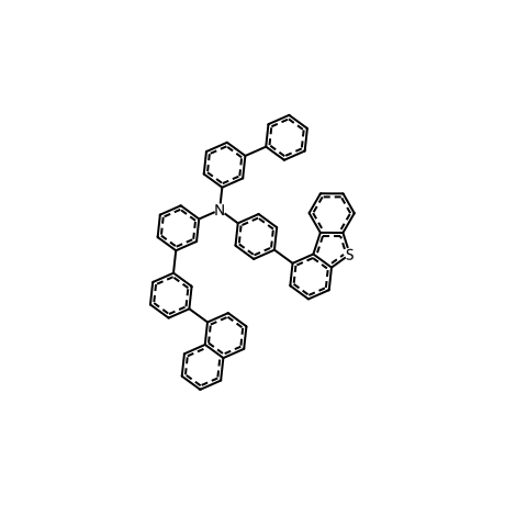 c1ccc(-c2cccc(N(c3ccc(-c4cccc5sc6ccccc6c45)cc3)c3cccc(-c4cccc(-c5cccc6ccccc56)c4)c3)c2)cc1